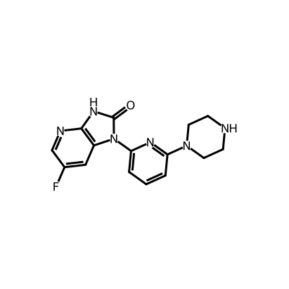 O=c1[nH]c2ncc(F)cc2n1-c1cccc(N2CCNCC2)n1